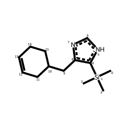 C[Si](C)(C)c1[nH]cnc1CC1CC=CCC1